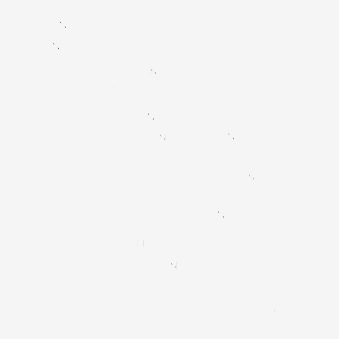 CCCOC(=O)N(CCN(C)C)c1cc(-c2nnc(Nc3ccc4[nH]ncc4c3Cl)s2)ncn1